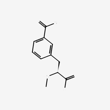 CN[C@@H](Cc1cccc(C(N)=O)c1)C(=O)O